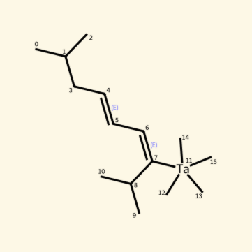 CC(C)C/C=C/C=[C](\C(C)C)[Ta]([CH3])([CH3])([CH3])[CH3]